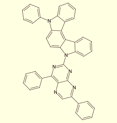 c1ccc(-c2cnc3c(-c4ccccc4)nc(-n4c5ccccc5c5c6c7ccccc7n(-c7ccccc7)c6ccc54)nc3n2)cc1